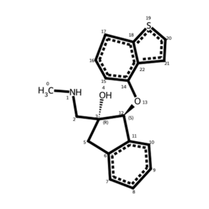 CNC[C@]1(O)Cc2ccccc2[C@@H]1Oc1cccc2sccc12